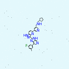 Cc1cc(F)cc(-c2cncc3[nH]c(-c4n[nH]c5ccc(-c6cncc(CNCC7CCCC7)c6)nc45)nc23)c1